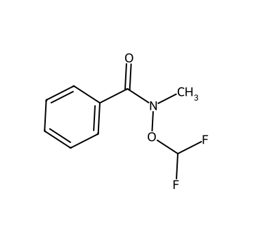 CN(OC(F)F)C(=O)c1ccccc1